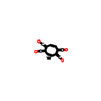 O=C=C1C=CC(=C=O)C(=C=O)C=CC1=C=O.[W]